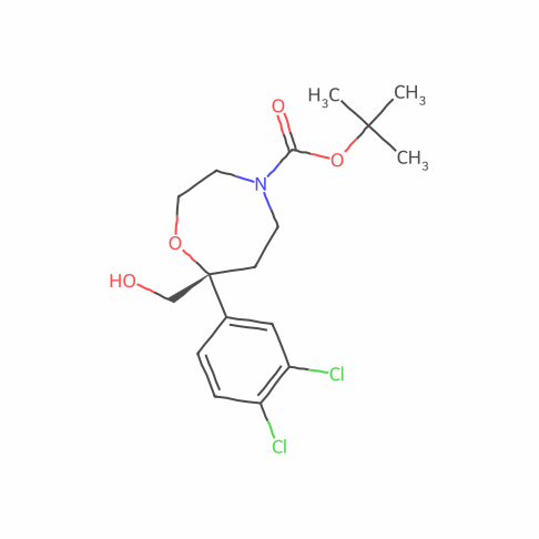 CC(C)(C)OC(=O)N1CCO[C@@](CO)(c2ccc(Cl)c(Cl)c2)CC1